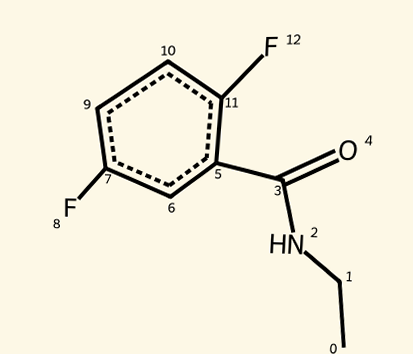 CCNC(=O)c1cc(F)ccc1F